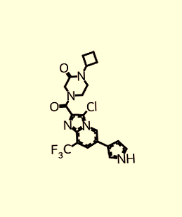 O=C(c1nc2c(C(F)(F)F)cc(-c3cc[nH]c3)cn2c1Cl)N1CCN(C2CCC2)C(=O)C1